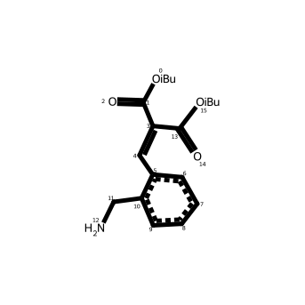 CC(C)COC(=O)C(=Cc1ccccc1CN)C(=O)OCC(C)C